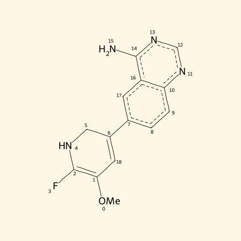 COC1=C(F)NCC(c2ccc3ncnc(N)c3c2)=C1